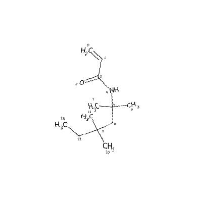 C=CC(=O)NC(C)(C)CC(C)(C)CC